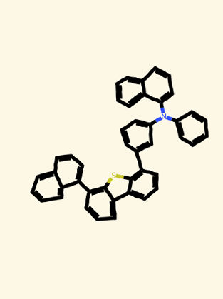 c1ccc(N(c2cccc(-c3cccc4c3sc3c(-c5cccc6ccccc56)cccc34)c2)c2cccc3ccccc23)cc1